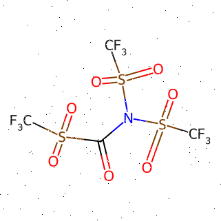 O=C(N(S(=O)(=O)C(F)(F)F)S(=O)(=O)C(F)(F)F)S(=O)(=O)C(F)(F)F